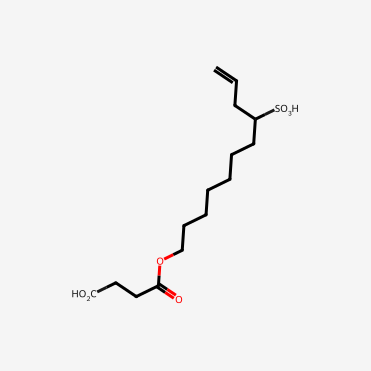 C=CCC(CCCCCCCOC(=O)CCC(=O)O)S(=O)(=O)O